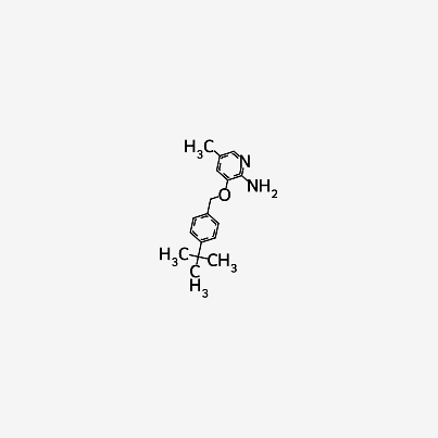 Cc1cnc(N)c(OCc2ccc(C(C)(C)C)cc2)c1